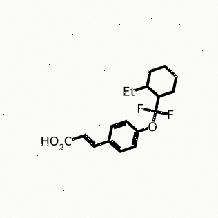 CCC1CCCCC1C(F)(F)Oc1ccc(C=CC(=O)O)cc1